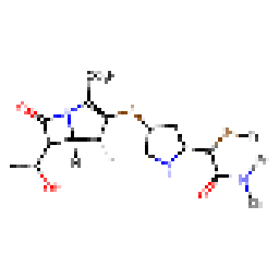 CCSC(C(=O)N(C#N)CC)[C@@H]1C[C@H](SC2=C(C(=O)O)N3C(=O)[C@H]([C@@H](C)O)[C@H]3[C@H]2C)CN1